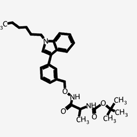 CCCCCCn1cc(-c2cccc(CONC(=O)C(C)NC(=O)OC(C)(C)C)c2)c2ccccc21